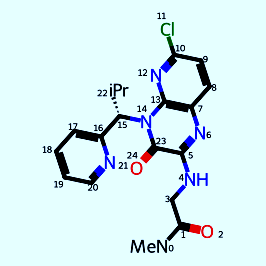 CNC(=O)CNc1nc2ccc(Cl)nc2n([C@H](c2ccccn2)C(C)C)c1=O